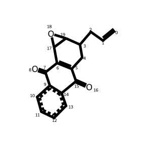 C=CCC1CC2=C(C(=O)c3ccccc3C2=O)C2OC12